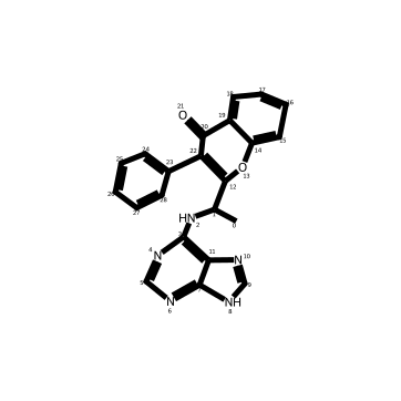 CC(Nc1ncnc2[nH]cnc12)c1oc2ccccc2c(=O)c1-c1ccccc1